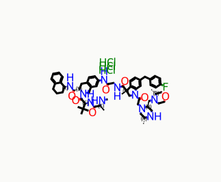 CN[C@@H](C)C(=O)N[C@H](C(=O)N1Cc2cc(NC(=O)CNC(=O)[C@@]3(C)CN(C(=O)CN4C[C@@H](C)NC[C@@H]4CN4CCOC[C@H]4C)c4cc(Cc5ccc(F)cc5)ccc43)ccc2C[C@H]1C(=O)N[C@@H]1CCCc2ccccc21)C(C)(C)C.Cl.Cl.Cl